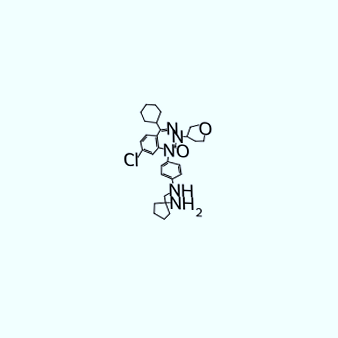 NC1(CNc2ccc(N3C(=O)N(C4CCOCC4)N=C(C4CCCCC4)c4ccc(Cl)cc43)cc2)CCCC1